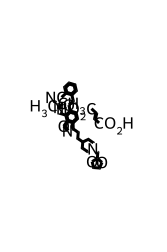 CN(C)Cc1c(OCc2ccccc2C#N)ccc2c(CCC3CCN(CC4OCCO4)CC3)noc12.O=C(O)C=CC(=O)O